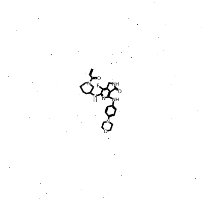 C=CC(=O)N1CCCCC(Nc2nc(Nc3ccc(N4CCOCC4)cc3)c3c(c2F)CNC3=O)C1